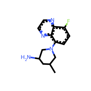 CC1CC(N)CN(c2ccc(F)c3nccnc23)C1